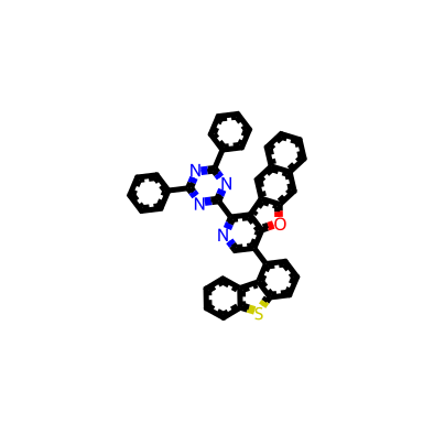 c1ccc(-c2nc(-c3ccccc3)nc(-c3ncc(-c4cccc5sc6ccccc6c45)c4oc5cc6ccccc6cc5c34)n2)cc1